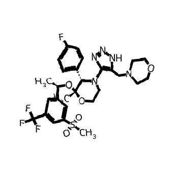 C[C@@H](O[C@@]1(C)OCCN(c2nn[nH]c2CN2CCOCC2)[C@H]1c1ccc(F)cc1)c1cc(C(F)(F)F)cc(S(C)(=O)=O)c1